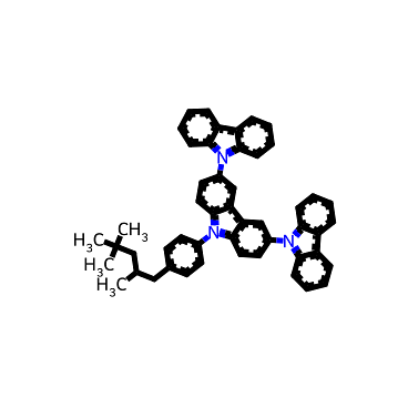 CC(Cc1ccc(-n2c3ccc(-n4c5ccccc5c5ccccc54)cc3c3cc(-n4c5ccccc5c5ccccc54)ccc32)cc1)CC(C)(C)C